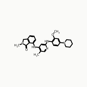 COc1cc(N2CCCCC2)ccc1Nc1cc(Nc2cccc3c2C(=O)N(C)C3)c(C)cn1